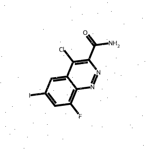 NC(=O)c1nnc2c(F)cc(I)cc2c1Cl